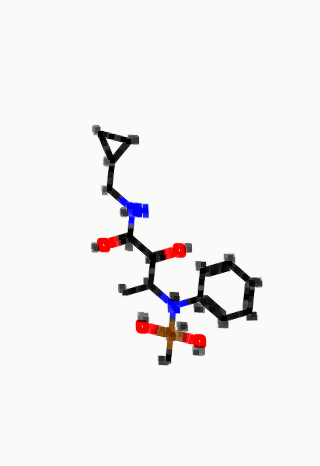 CC(C(=O)C(=O)NCC1CC1)N(c1ccccc1)S(C)(=O)=O